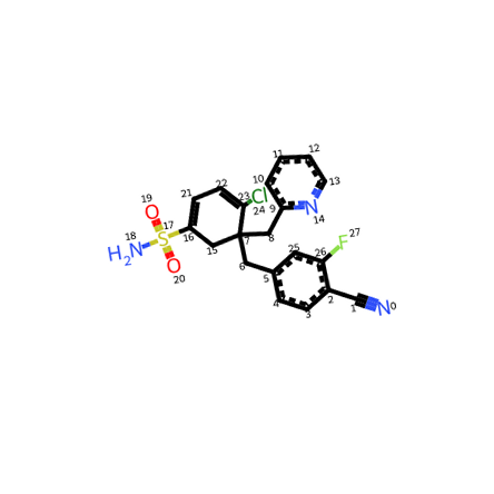 N#Cc1ccc(CC2(Cc3ccccn3)CC(S(N)(=O)=O)=CC=C2Cl)cc1F